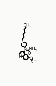 CCCCCCCN1CCC(N(C(N)=O)c2ccnc3ccc(OC)cc23)CC1